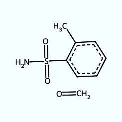 C=O.Cc1ccccc1S(N)(=O)=O